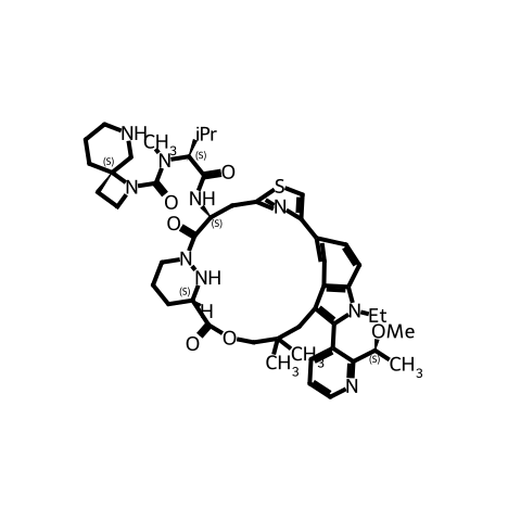 CCn1c(-c2cccnc2[C@H](C)OC)c2c3cc(ccc31)-c1csc(n1)C[C@H](NC(=O)[C@H](C(C)C)N(C)C(=O)N1CC[C@]13CCCNC3)C(=O)N1CCC[C@H](N1)C(=O)OCC(C)(C)C2